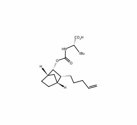 C=CCCC[C@@H]1[C@@H]2CC[C@@H](C2)[C@@H]1OC(=O)N[C@H](C(=O)O)C(C)(C)C